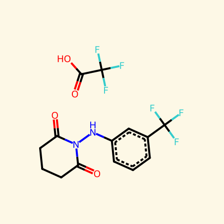 O=C(O)C(F)(F)F.O=C1CCCC(=O)N1Nc1cccc(C(F)(F)F)c1